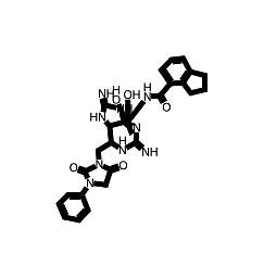 N=C1NC2C(CN3C(=O)CN(c4ccccc4)C3=O)NC(=N)N3CC(NC(=O)c4cccc5c4CCC5)C(O)(O)C23N1